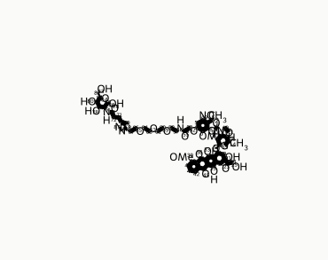 COc1cc(C(C)OC(=O)N2CO[C@@H]3[C@H](C)O[C@@H](O[C@H]4C[C@](O)(C(=O)CO)Cc5c(O)c6c(c(O)c54)C(=O)c4c(OC)cccc4C6=O)C[C@@H]32)c([N+](=O)[O-])cc1OCC(=O)NCCOCCOCCOCCn1cc(CCC(=O)N[C@@H]2[C@@H](O)[C@H](O)[C@@H](CO)O[C@H]2O)nn1